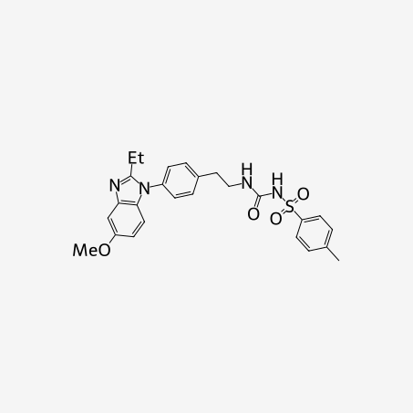 CCc1nc2cc(OC)ccc2n1-c1ccc(CCNC(=O)NS(=O)(=O)c2ccc(C)cc2)cc1